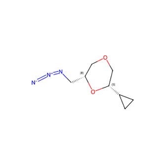 [N-]=[N+]=NC[C@@H]1COC[C@H](C2CC2)O1